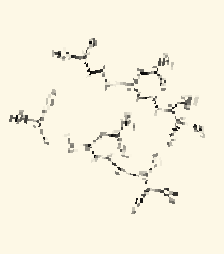 NC(=O)CCCC(CCCC(S)C(=O)O)CC(N)=O.NC(=O)CCCC(CCCC(S)C(=O)O)CC(N)=O